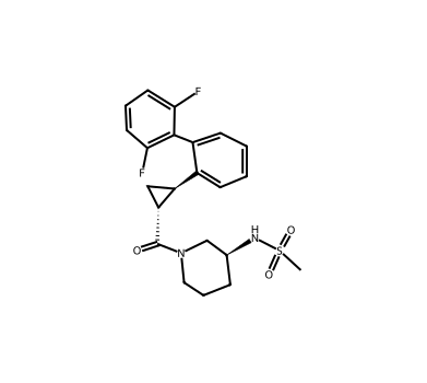 CS(=O)(=O)N[C@H]1CCCN(C(=O)[C@@H]2C[C@H]2c2ccccc2-c2c(F)cccc2F)C1